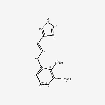 COc1cccc(CC=Cc2c[nH]cn2)c1OC